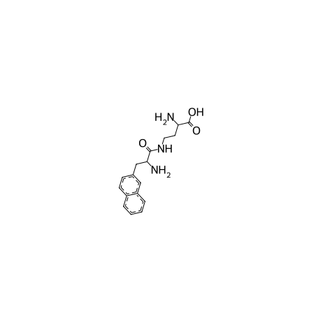 NC(CCNC(=O)C(N)Cc1ccc2ccccc2c1)C(=O)O